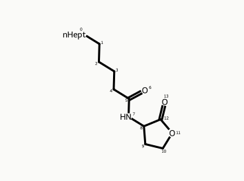 CCCCCCCCCCCC(=O)NC1CCOC1=O